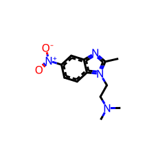 Cc1nc2cc([N+](=O)[O-])ccc2n1CCN(C)C